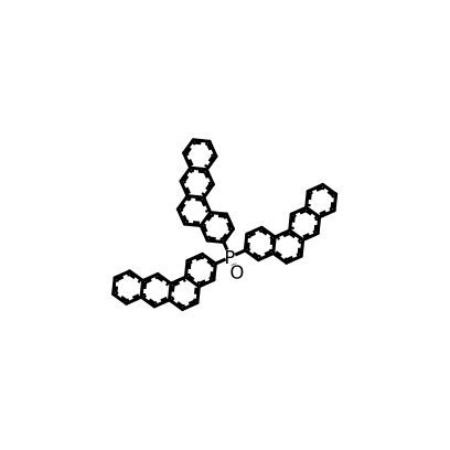 O=P(c1ccc2c(ccc3cc4ccccc4cc32)c1)(c1ccc2c(ccc3cc4ccccc4cc32)c1)c1ccc2c(ccc3cc4ccccc4cc32)c1